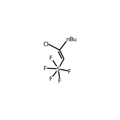 CCCC/C(Cl)=C/S(F)(F)(F)(F)F